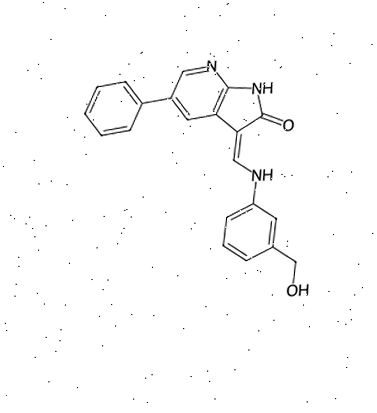 O=C1Nc2ncc(-c3ccccc3)cc2C1=CNc1cccc(CO)c1